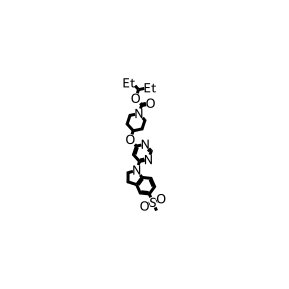 CCC(CC)OC(=O)N1CCC(Oc2cc(N3CCc4cc(S(C)(=O)=O)ccc43)ncn2)CC1